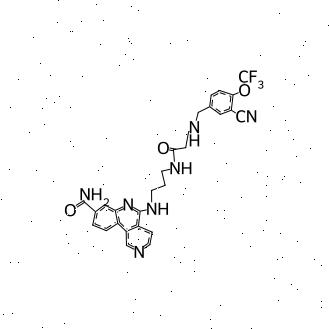 N#Cc1cc(CNCCC(=O)NCCCNc2nc3cc(C(N)=O)ccc3c3cnccc23)ccc1OC(F)(F)F